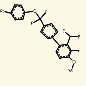 CCCc1ccc(OC(F)(F)c2ccc(-c3ccc(OCC)c(F)c3C(F)F)cc2)cc1